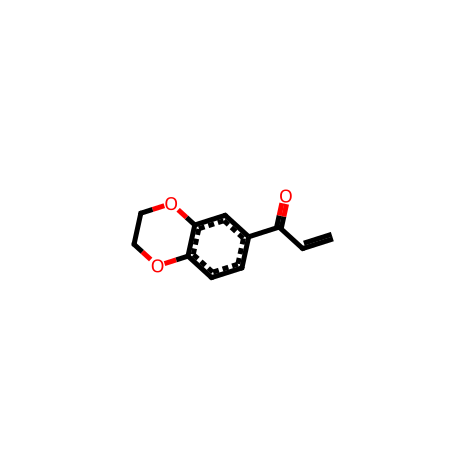 C=CC(=O)c1ccc2c(c1)OCCO2